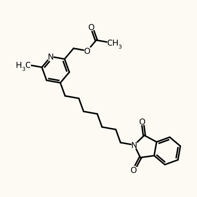 CC(=O)OCc1cc(CCCCCCCN2C(=O)c3ccccc3C2=O)cc(C)n1